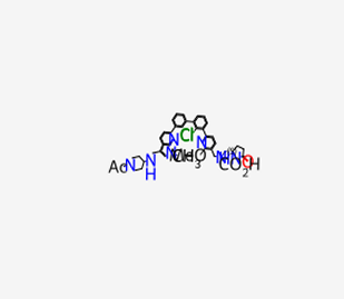 COc1nc(-c2cccc(-c3cccc(-c4ccc5c(CNC6CCN(C(C)=O)CC6)cn(C)c5n4)c3Cl)c2Cl)ccc1CN(C[C@@H]1CCC(=O)N1)C(=O)O